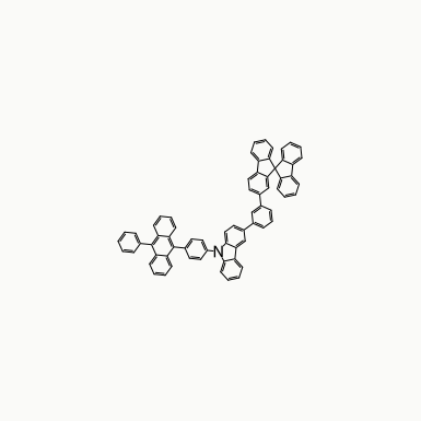 c1ccc(-c2c3ccccc3c(-c3ccc(-n4c5ccccc5c5cc(-c6cccc(-c7ccc8c(c7)C7(c9ccccc9-c9ccccc97)c7ccccc7-8)c6)ccc54)cc3)c3ccccc23)cc1